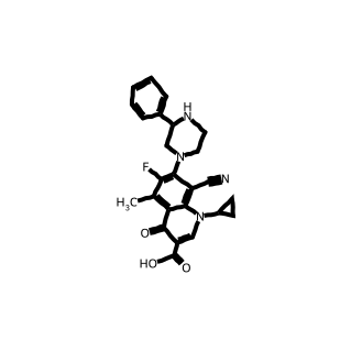 Cc1c(F)c(N2CCNC(c3ccccc3)C2)c(C#N)c2c1c(=O)c(C(=O)O)cn2C1CC1